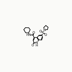 O=C(NC1CCCCC1)c1cc(=O)[nH]c2ccc(S(=O)(=O)N3CCCC3)cc12